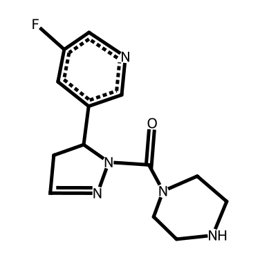 O=C(N1CCNCC1)N1N=CCC1c1cncc(F)c1